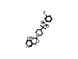 CC(C)(C1CCN(C(=O)Nc2ccncc2F)CC1)S(=O)(=O)c1cccc(F)c1